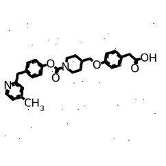 Cc1ccnc(Cc2ccc(OC(=O)N3CCC(COc4ccc(CC(=O)O)cc4)CC3)cc2)c1